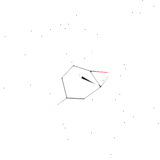 OC1CC[C@H]2O[C@@H]2C1